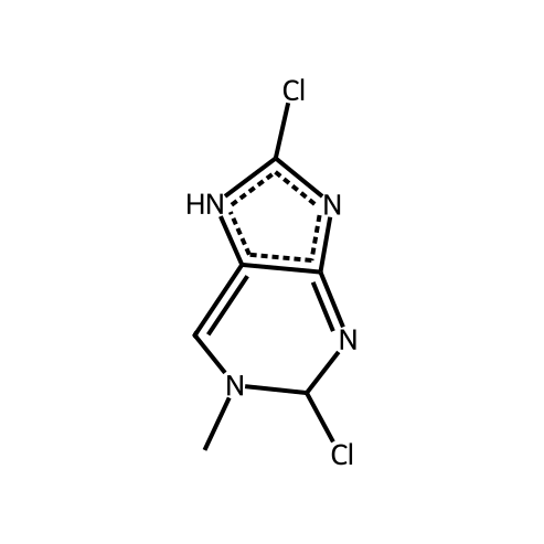 CN1C=c2[nH]c(Cl)nc2=NC1Cl